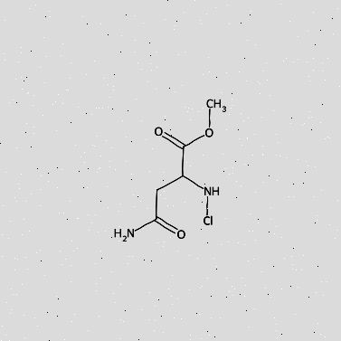 COC(=O)C(CC(N)=O)NCl